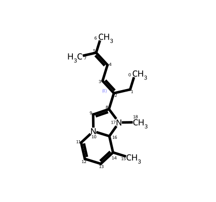 CC/C(=C\C=C(C)C)C1=CN2C=CC=C(C)C2N1C